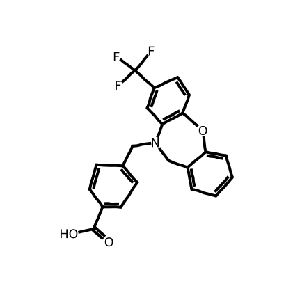 O=C(O)c1ccc(CN2Cc3ccccc3Oc3ccc(C(F)(F)F)cc32)cc1